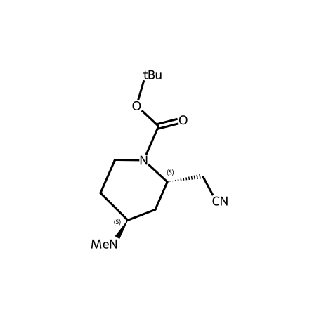 CN[C@H]1CCN(C(=O)OC(C)(C)C)[C@H](CC#N)C1